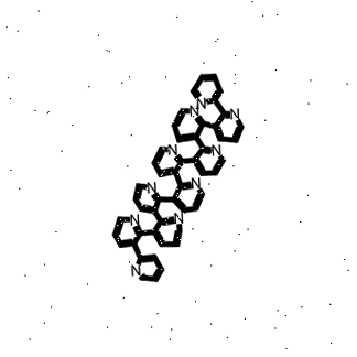 c1ccc(-c2cccnc2-c2cccnc2-c2cccnc2-c2cccnc2-c2cccnc2-c2cccnc2-c2cccnc2-c2cccnc2-c2ccccn2)nc1